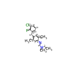 CCN(C)C=Nc1cc(C)c(Cc2cccc(Cl)c2F)cc1C